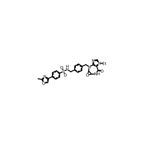 CCn1cnc2c1C(=O)NC1OC1N2Cc1ccc(CNS(=O)(=O)c2ccc(-c3coc(C)n3)cc2)cc1